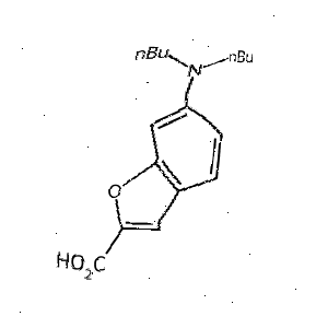 CCCCN(CCCC)c1ccc2cc(C(=O)O)oc2c1